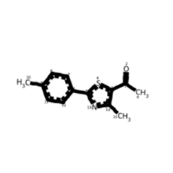 CC(=O)c1sc(-c2ccc(C)cc2)nc1C